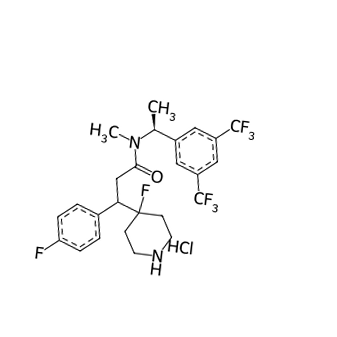 C[C@@H](c1cc(C(F)(F)F)cc(C(F)(F)F)c1)N(C)C(=O)CC(c1ccc(F)cc1)C1(F)CCNCC1.Cl